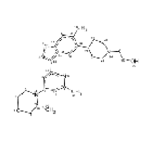 Cc1nc(N2CCOC[C@H]2C)cc(-n2ncc3cc(C)c(C4CCN(CCO)CC4)cc32)n1